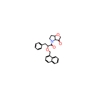 O=C1COC2CCN(C(=O)C(Cc3ccccc3)OCc3cccc4ccccc34)C12